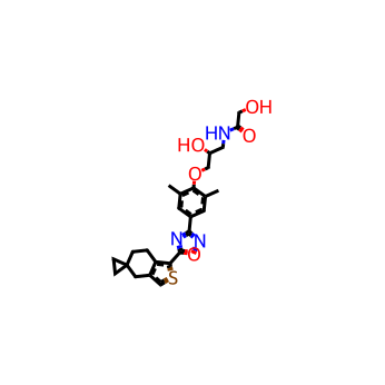 Cc1cc(-c2noc(-c3scc4c3CCC3(CC3)C4)n2)cc(C)c1OCC(O)CNC(=O)CO